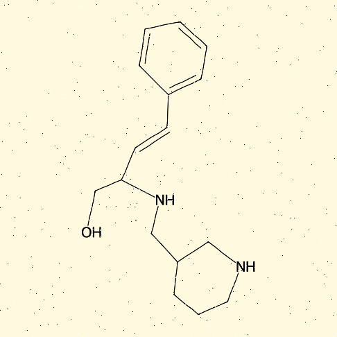 OCC(/C=C/c1ccccc1)NCC1CCCNC1